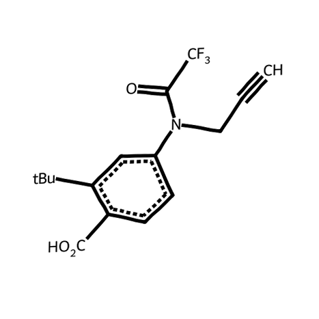 C#CCN(C(=O)C(F)(F)F)c1ccc(C(=O)O)c(C(C)(C)C)c1